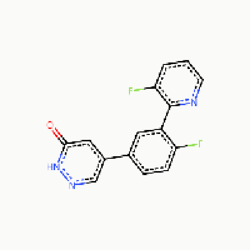 O=c1cc(-c2ccc(F)c(-c3ncccc3F)c2)cn[nH]1